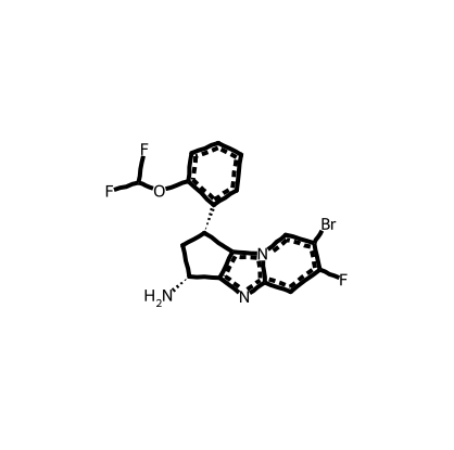 N[C@@H]1C[C@H](c2ccccc2OC(F)F)c2c1nc1cc(F)c(Br)cn21